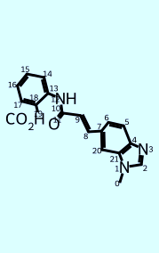 Cn1cnc2ccc(/C=C/C(=O)Nc3ccccc3C(=O)O)cc21